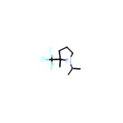 CC(C)N1CCCC1(C)C(F)(F)F